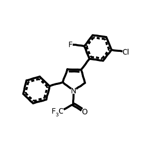 O=C(N1CC(c2cc(Cl)ccc2F)=CC1c1ccccc1)C(F)(F)F